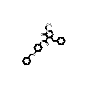 CCn1cnc(Cc2ccccc2)c(C(=O)Oc2ccc(OCc3ccccc3)cc2)c1=O